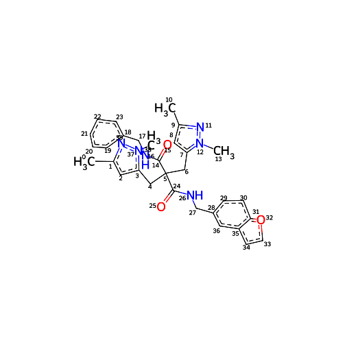 Cc1cc(CC(Cc2cc(C)nn2C)(C(=O)NCc2ccccc2)C(=O)NCc2ccc3occc3c2)n(C)n1